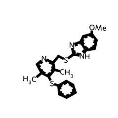 COc1ccc2[nH]c(SCc3ncc(C)c(Sc4ccccc4)c3C)nc2c1